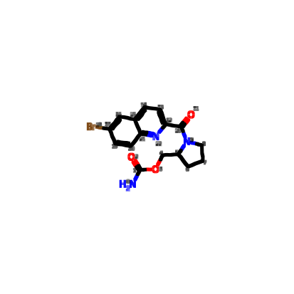 NC(=O)OCC1CCCN1C(=O)c1ccc2cc(Br)ccc2n1